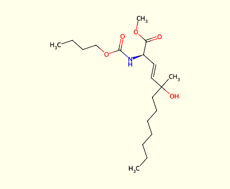 CCCCCCCC(C)(O)/C=C/[C@@H](NC(=O)OCCCC)C(=O)OC